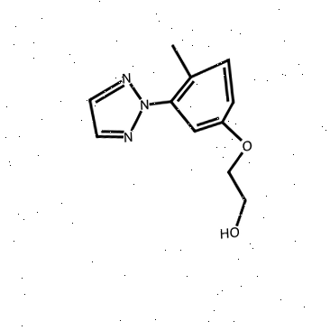 Cc1ccc(OCCO)cc1-n1nccn1